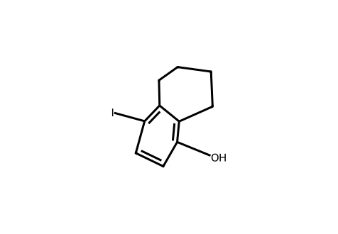 Oc1ccc(I)c2c1CCCC2